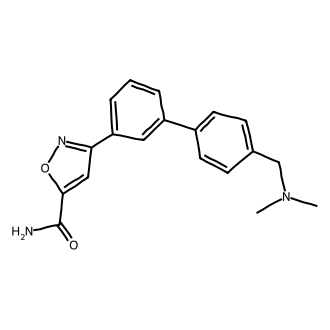 CN(C)Cc1ccc(-c2cccc(-c3cc(C(N)=O)on3)c2)cc1